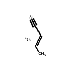 CC=CC#N.[Na]